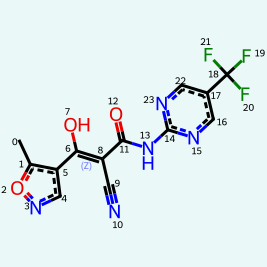 Cc1oncc1/C(O)=C(\C#N)C(=O)Nc1ncc(C(F)(F)F)cn1